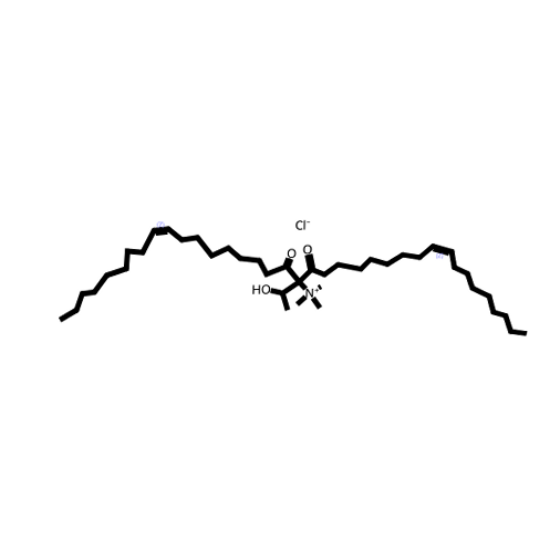 CCCCCCCC/C=C\CCCCCCCC(=O)C(C(=O)CCCCCCC/C=C\CCCCCCCC)(C(C)O)[N+](C)(C)C.[Cl-]